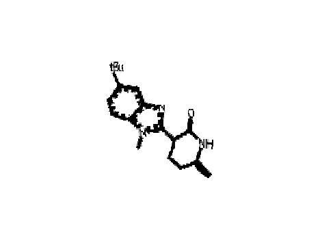 C=C1CCC(c2nc3cc(C(C)(C)C)ccc3n2C)C(=O)N1